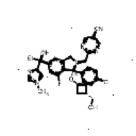 CCC(O)(c1cc(F)c2c(c1)CN(Cc1ncc(C#N)cn1)[C@@]2(O[C@H]1C[C@H](CO)C1)c1ccc(Cl)cc1)c1cn(C)cn1